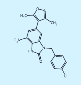 Cc1noc(C)c1-c1cc([N+](=O)[O-])c2[nH]c(=O)n(Cc3ccc(Cl)cc3)c2c1